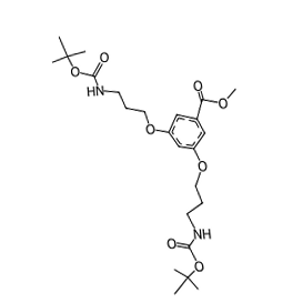 COC(=O)c1cc(OCCCNC(=O)OC(C)(C)C)cc(OCCCNC(=O)OC(C)(C)C)c1